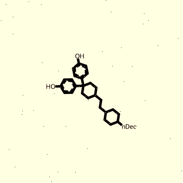 CCCCCCCCCCC1CCC(CCC2CCC(c3ccc(O)cc3)(c3ccc(O)cc3)CC2)CC1